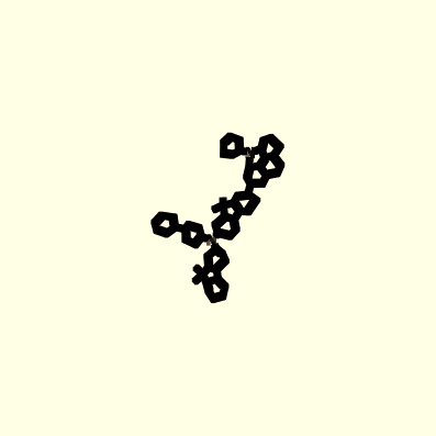 CC1(C)c2ccccc2-c2ccc(N(c3ccc(-c4ccccc4)cc3)c3ccc4c(c3)C(C)(C)c3cc(-c5cc6ccc7cccc8c7c6c(c5)n8-c5ccccc5)ccc3-4)cc21